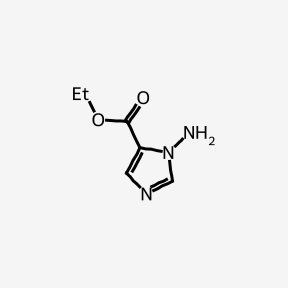 CCOC(=O)c1cncn1N